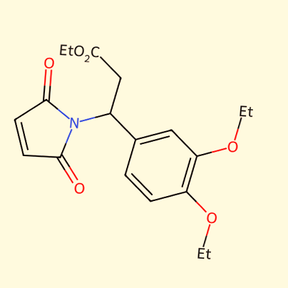 CCOC(=O)CC(c1ccc(OCC)c(OCC)c1)N1C(=O)C=CC1=O